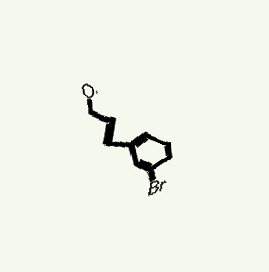 [O]CC=Cc1cccc(Br)c1